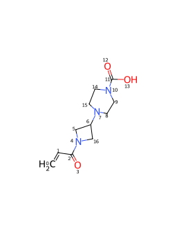 C=CC(=O)N1CC(N2CCN(C(=O)O)CC2)C1